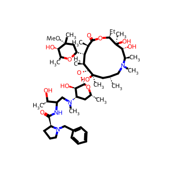 CC[C@H]1OC(=O)[C@H](C)[C@@H](C2C[C@@](C)(OC)[C@@H](O)[C@H](C)O2)[C@H](C)[C@@H](O[C@@H]2O[C@H](C)C[C@H](N(C)CC(NC(=O)[C@@H]3CCCN3Cc3ccccc3)[C@H](C)O)[C@H]2O)[C@](C)(O)C[C@@H](C)CN(C)[C@H](C)[C@@H](O)[C@]1(C)O